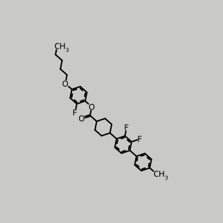 CCCCCOc1ccc(OC(=O)C2CCC(c3ccc(-c4ccc(C)cc4)c(F)c3F)CC2)c(F)c1